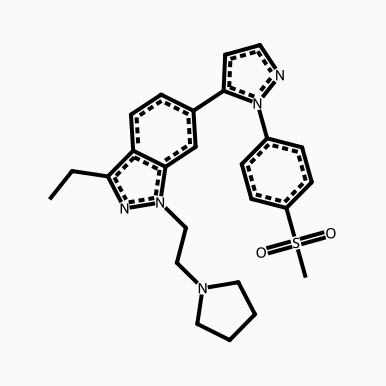 CCc1nn(CCN2CCCC2)c2cc(-c3ccnn3-c3ccc(S(C)(=O)=O)cc3)ccc12